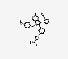 COC(=O)C1CN(c2cccc(-c3c(-c4ccsc4C#N)c4cc(F)ccc4n3Sc3ccc(OC)cc3)c2)C1